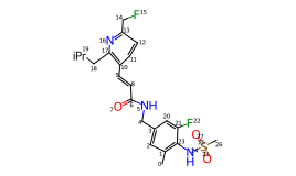 Cc1cc(CNC(=O)/C=C/c2ccc(CF)nc2CC(C)C)cc(F)c1NS(C)(=O)=O